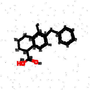 Cc1c(Cc2ccccc2)ccc2c1CCCC2C(=O)O